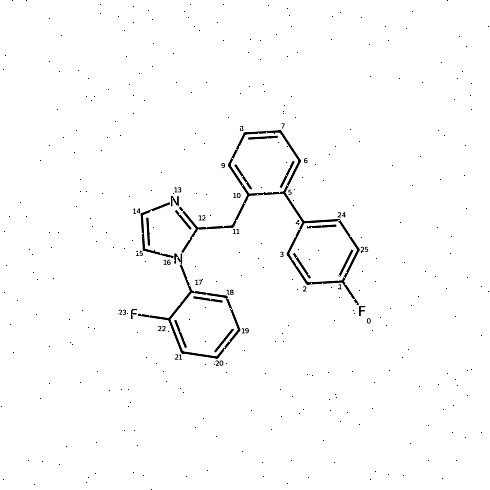 Fc1ccc(-c2ccccc2Cc2nccn2-c2ccccc2F)cc1